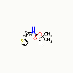 CC(C)(C)OC(=O)N[C@@H]1C[C@H]1c1cccs1